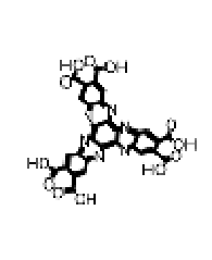 O=C(O)c1cc2nc3c4nc5cc(C(=O)O)c(C(=O)O)cc5nc4c4nc5cc(C(=O)O)c(C(=O)O)cc5nc4c3nc2cc1C(=O)O